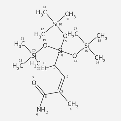 CCC(C=C(C)C(N)=O)[Si](O[Si](C)(C)C)(O[Si](C)(C)C)O[Si](C)(C)C